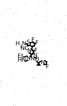 CCC1CN(c2nc(OCC3(CN4CC[C@@H](F)C4)CC3)nc3c(F)c(C4=CC(F)=C(F)C5SC(N)=C(C#N)C45)ncc23)CCN1